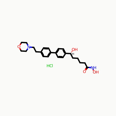 Cl.O=C(CCCC[C@@H](O)c1ccc(-c2ccc(CCN3CCOCC3)cc2)cc1)NO